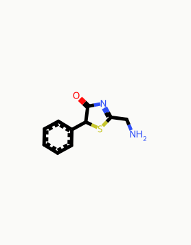 NCC1=NC(=O)C(c2ccccc2)S1